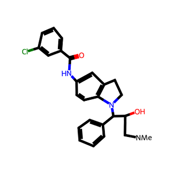 CNCC(O)C(c1ccccc1)N1CCc2cc(NC(=O)c3cccc(Cl)c3)ccc21